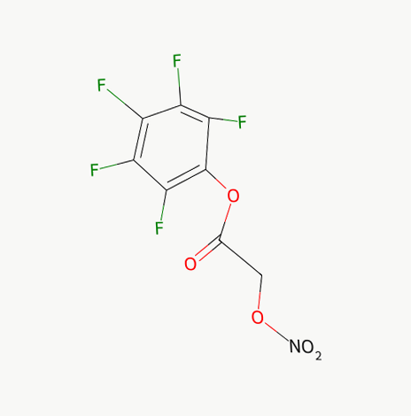 O=C(CO[N+](=O)[O-])Oc1c(F)c(F)c(F)c(F)c1F